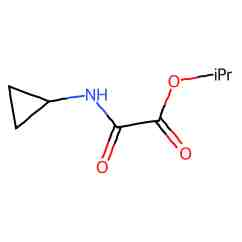 CC(C)OC(=O)C(=O)NC1CC1